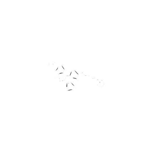 Oc1ccc2c(c1)OCC(c1ccccc1)C2c1ccc(CCCCCN2CCCC2)cc1